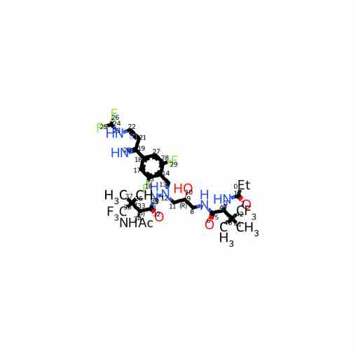 CCC(=O)NC(C(=O)NC[C@@H](O)CN(Cc1c(F)cc(C(=N)/C=C\NC(F)F)cc1F)NC(=O)[C@@H](NC(C)=O)C(C)(C)C(F)(F)F)C(C)(C)C(F)(F)F